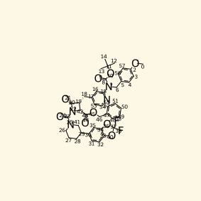 COc1ccc(CN(C(=O)OC(C)(C)C)c2cc(C[C@H]3C(=O)N(C(=O)N4CCCC(c5ccc6c(c5)OC(F)(F)O6)C4)[C@@H]3C(=O)OCc3ccccc3)ccn2)cc1